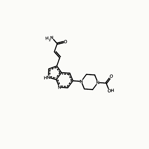 NC(=O)C=Cc1c[nH]c2ncc(N3CCN(C(=O)O)CC3)cc12